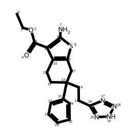 CCOC(=O)c1c(N)sc2c1CCC(CCc1nn[nH]n1)(c1ccccc1)C2